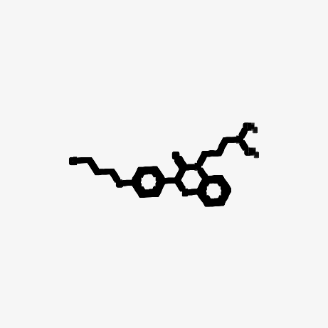 CN(C)CCCN1C(=O)C(c2ccc(OCCCCl)cc2)Sc2ccccc21